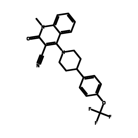 Cn1c(=O)c(C#N)c(N2CCC(c3ccc(OC(F)(F)F)cc3)CC2)c2ccccc21